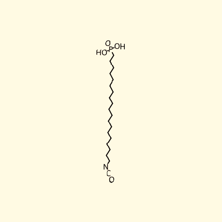 O=C=NCCCCCCCCCCCCCCCCCCCP(=O)(O)O